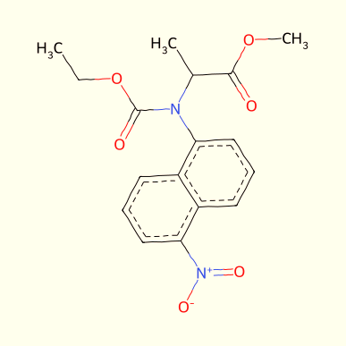 CCOC(=O)N(c1cccc2c([N+](=O)[O-])cccc12)C(C)C(=O)OC